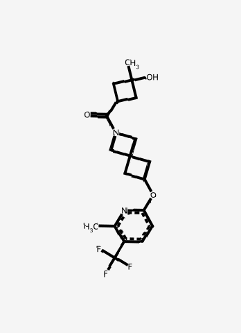 Cc1nc(OC2CC3(C2)CN(C(=O)C2CC(C)(O)C2)C3)ccc1C(F)(F)F